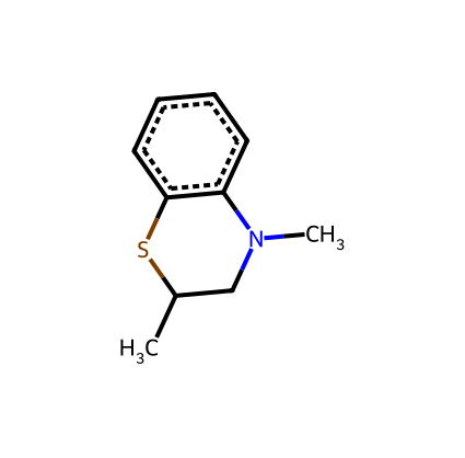 CC1CN(C)c2ccccc2S1